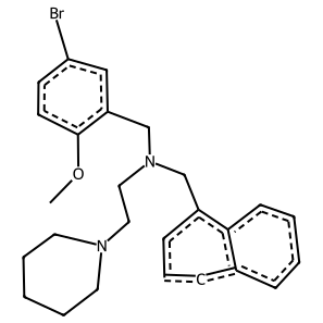 COc1ccc(Br)cc1CN(CCN1CCCCC1)Cc1cccc2ccccc12